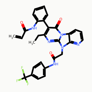 C=CC(=O)Nc1ccccc1-c1c(CC)nc2n(CC(=O)Nc3ccc(C(F)(F)F)cc3)c3ncccc3n2c1=O